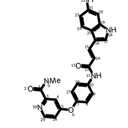 CNC(=O)c1cc(Oc2ccc(NC(=O)C=Cc3c[nH]c4cc(C(C)C)ccc34)cc2)ccn1